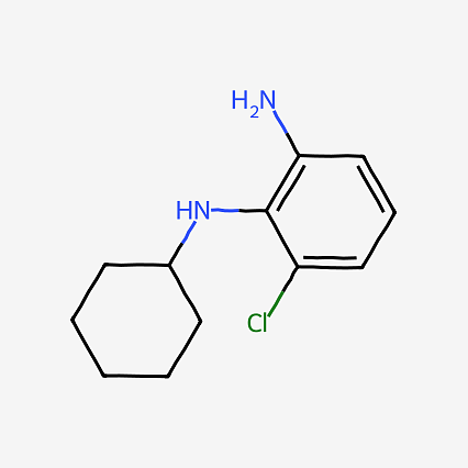 Nc1cccc(Cl)c1NC1CCCCC1